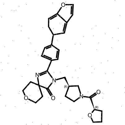 O=C([C@H]1CCCO1)N1CC[C@@H](CN2C(=O)C3(CCOCC3)N=C2c2ccc(C3C=c4ccoc4=CC3)cc2)C1